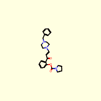 O=C(C=CN1CCN(Cc2ccccc2)CC1)c1ccccc1OC(=O)N1CCCC1